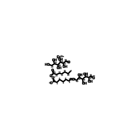 CCCCCCC(=O)[O-].CCCCCCC(=O)[O-].O=CC(O)C(O)C(O)C(O)CO.O=CC(O)C(O)C(O)C(O)CO.[Cu+2]